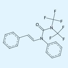 O=C(N(C=Cc1ccccc1)c1ccccc1)N(C(F)(F)F)C(F)(F)F